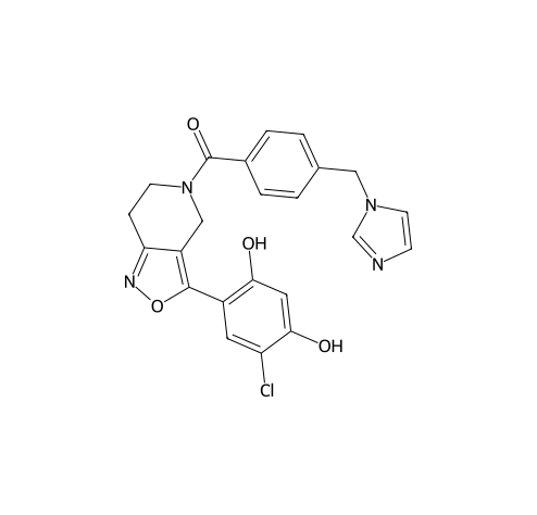 O=C(c1ccc(Cn2ccnc2)cc1)N1CCc2noc(-c3cc(Cl)c(O)cc3O)c2C1